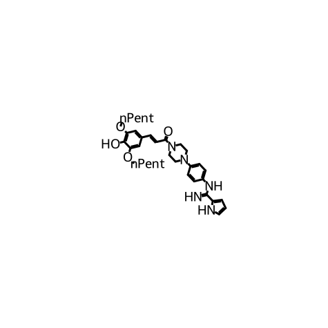 CCCCCOc1cc(/C=C/C(=O)N2CCN(c3ccc(NC(=N)c4ccc[nH]4)cc3)CC2)cc(OCCCCC)c1O